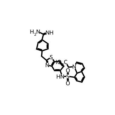 N=C(N)c1ccc(Cc2nc3cc(NS(=O)(=O)C4=CC=CC5=CC=CN(CC(=O)O)C54)ccc3s2)cc1